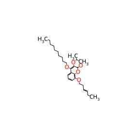 CC/C=C/CCOc1cccc2c(OCCCCCCCCCC)c(OC(C)C)c(=O)oc12